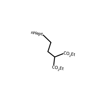 CCCCCCCCCC(C(=O)OCC)C(=O)OCC